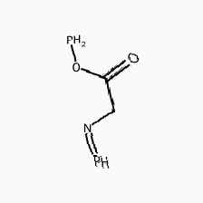 O=C(CN=P)OP